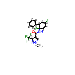 Cn1cc(C(=O)NC2(F)C=CC(F)=CC2c2ccccc2)c(C(F)(F)F)n1